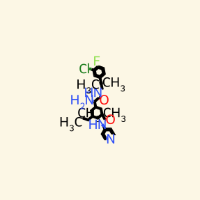 CC(C)CC1CC(C(N)C(=O)NCC(C)(C)c2ccc(F)c(Cl)c2)CC(C)(C(=O)Nc2ccncc2)C1